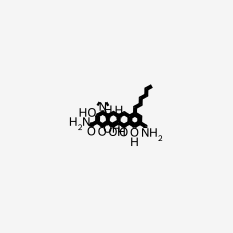 CCCCCCc1cc(CN)c(O)c2c1C[C@H]1C[C@H]3[C@H](N(C)C)C(O)=C(C(N)=O)C(=O)[C@@]3(O)C(O)=C1C2=O